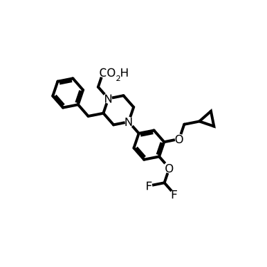 O=C(O)CN1CCN(c2ccc(OC(F)F)c(OCC3CC3)c2)CC1Cc1ccccc1